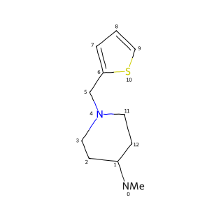 CNC1CCN(Cc2cccs2)CC1